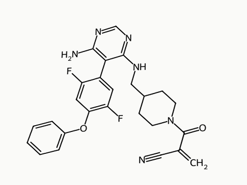 C=C(C#N)C(=O)N1CCC(CNc2ncnc(N)c2-c2cc(F)c(Oc3ccccc3)cc2F)CC1